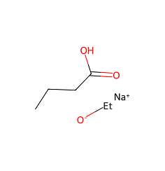 CCCC(=O)O.CC[O-].[Na+]